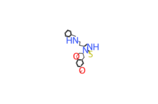 COc1ccc2c(c1)CC(n1c(CCNCc3ccccc3)c[nH]c1=S)CO2